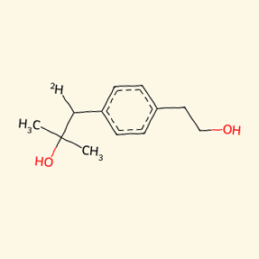 [2H]C(c1ccc(CCO)cc1)C(C)(C)O